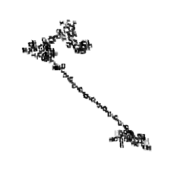 CC[C@@]1(O)C(=O)OCc2c1cc1n(c2=O)Cc2c-1nc1cc(F)c(C)c3c1c2[C@@H](NC(=O)OCc1ccc(NC(=O)[C@H](CCCNC(N)=O)NC(=O)[C@@H](NC(=O)[C@@H](N)CCCCNC(=O)CCOCCOCCOCCOCCOCCOCCOCCOCCOCCOCCOCCOCCN(C[C@H](O)[C@@H](O)[C@H](O)[C@H](O)CO)C[C@H](O)[C@@H](O)[C@H](O)[C@H](O)CO)C(C)C)cc1)CC3